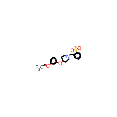 CS(=O)(=O)c1ccccc1CN1CCC(Oc2cccc(OCC(F)(F)F)c2)CC1